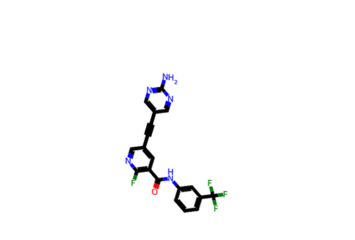 Nc1ncc(C#Cc2cnc(F)c(C(=O)Nc3cccc(C(F)(F)F)c3)c2)cn1